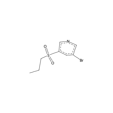 CCCS(=O)(=O)c1cncc(Br)c1